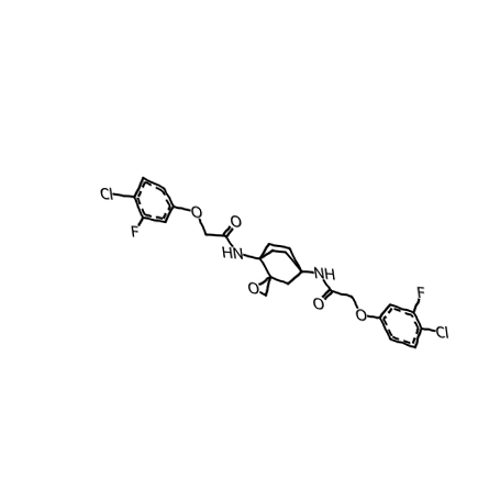 O=C(COc1ccc(Cl)c(F)c1)NC12CCC(NC(=O)COc3ccc(Cl)c(F)c3)(CC1)C1(CO1)C2